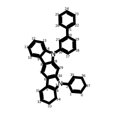 C1=CC(n2c3c(c4cc5c6ccccc6n(-c6cccc(-c7ccccc7)c6)c5cc42)C=CCC3)=CCC1